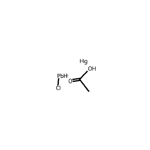 CC(=O)O.[Cl][PbH].[Hg]